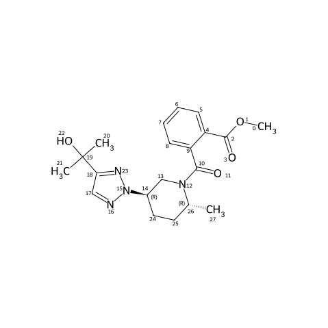 COC(=O)c1ccccc1C(=O)N1C[C@H](n2ncc(C(C)(C)O)n2)CC[C@H]1C